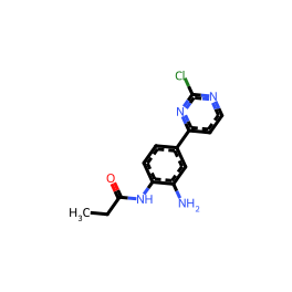 CCC(=O)Nc1ccc(-c2ccnc(Cl)n2)cc1N